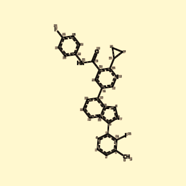 Cc1cccc(-c2ncc3c(-c4cnc(C5CC5)c(C(=O)Nc5ccc(F)cc5)c4)cccn23)c1F